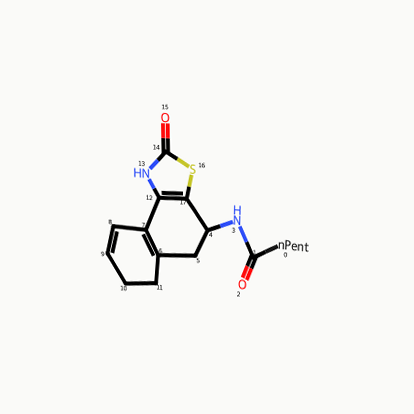 CCCCCC(=O)NC1CC2=C(C=CCC2)c2[nH]c(=O)sc21